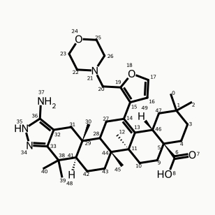 CC1(C)CC[C@]2(C(=O)O)CC[C@]3(C)C(=C(c4ccoc4CN4CCOCC4)CC4[C@@]5(C)Cc6c(n[nH]c6N)C(C)(C)[C@@H]5CC[C@]43C)[C@@H]2C1